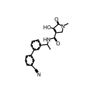 CC(NC(=O)C1=C(O)C(=O)N(C)C1)c1cccc(-c2cccc(C#N)c2)c1